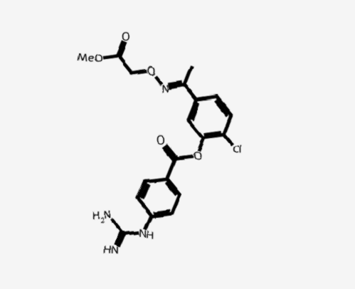 COC(=O)CON=C(C)c1ccc(Cl)c(OC(=O)c2ccc(NC(=N)N)cc2)c1